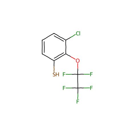 FC(F)(F)C(F)(F)Oc1c(S)cccc1Cl